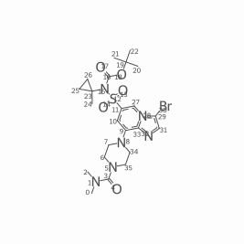 CN(C)C(=O)N1CCN(c2cc(S(=O)(=O)N(C(=O)OC(C)(C)C)C3(C)CC3)cn3c(Br)cnc23)CC1